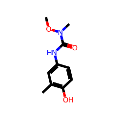 CON(C)C(=O)Nc1ccc(O)c(C)c1